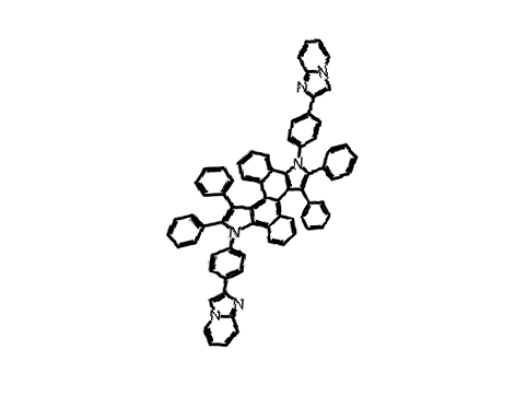 c1ccc(-c2c(-c3ccccc3)n(-c3ccc(-c4cn5ccccc5n4)cc3)c3c4ccccc4c4c5c(-c6ccccc6)c(-c6ccccc6)n(-c6ccc(-c7cn8ccccc8n7)cc6)c5c5ccccc5c4c23)cc1